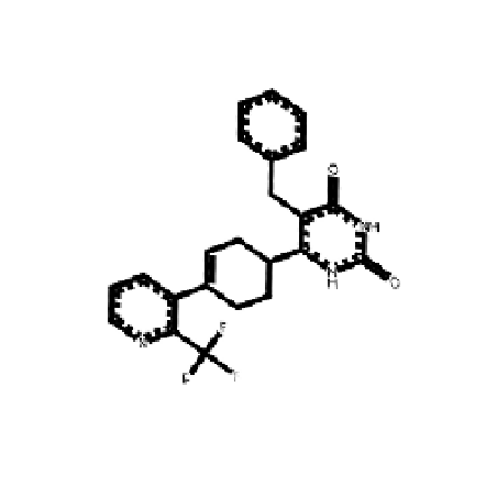 O=c1[nH]c(C2CC=C(c3cccnc3C(F)(F)F)CC2)c(Cc2ccccc2)c(=O)[nH]1